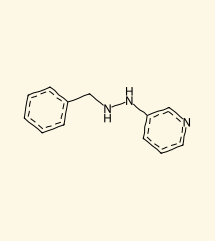 c1ccc(CNNc2cccnc2)cc1